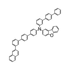 c1ccc(-c2ccc(-c3cccc(N(c4ccc(-c5ccc(-c6cccc(-c7ccc8ccccc8c7)c6)cc5)cc4)c4ccc5oc6ccccc6c5c4)c3)cc2)cc1